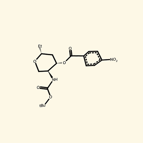 CC[C@@H]1C[C@H](OC(=O)c2ccc([N+](=O)[O-])cc2)[C@@H](NC(=O)OC(C)(C)C)CO1